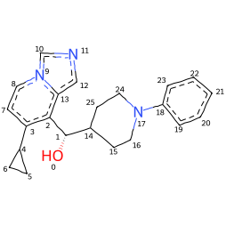 O[C@H](c1c(C2CC2)ccn2cncc12)C1CCN(c2ccccc2)CC1